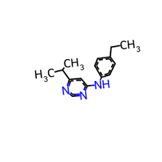 CCc1ccc(Nc2cc(C(C)C)ncn2)cc1